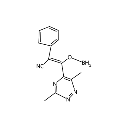 BOC(=C(C#N)c1ccccc1)c1nc(C)nnc1C